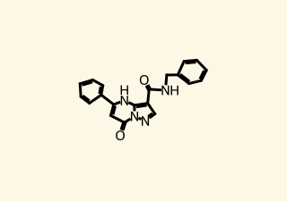 O=C(NCc1ccccc1)c1cnn2c(=O)cc(-c3ccccc3)[nH]c12